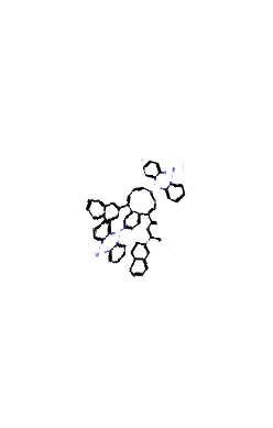 C=C/C(=C\C(=C)c1ccc(N2c3ccccc3N(C)c3ccccc32)cccc(-c2ccc3ccccc3c2)c2cc(N3c4ccccc4N(C)c4ccccc43)ccc12)c1ccc2ccccc2c1